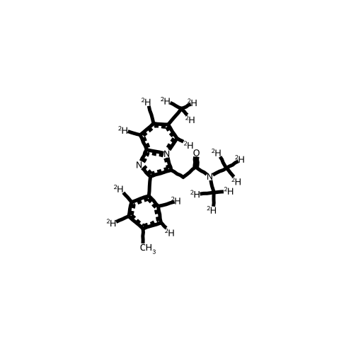 [2H]c1c([2H])c(-c2nc3c([2H])c([2H])c(C([2H])([2H])[2H])c([2H])n3c2CC(=O)N(C([2H])([2H])[2H])C([2H])([2H])[2H])c([2H])c([2H])c1C